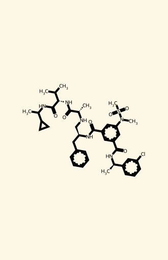 CC(NC(=O)[C@@H](NC(=O)[C@H](C)NC[C@H](Cc1ccccc1)NC(=O)c1cc(C(=O)N[C@H](C)c2cccc(Cl)c2)cc(N(C)S(C)(=O)=O)c1)C(C)C)C1CC1